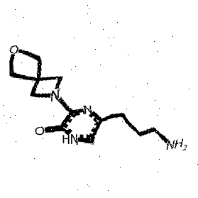 NCCCc1c[nH]c(=O)c(N2CC3(COC3)C2)n1